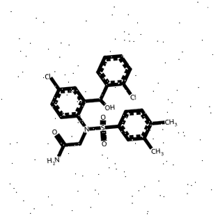 Cc1ccc(S(=O)(=O)N(CC(N)=O)c2ccc(Cl)cc2C(O)c2ccccc2Cl)cc1C